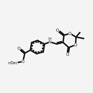 CCCCCCCCCCOC(=O)c1ccc(NC=C2C(=O)OC(C)(C)OC2=O)cc1